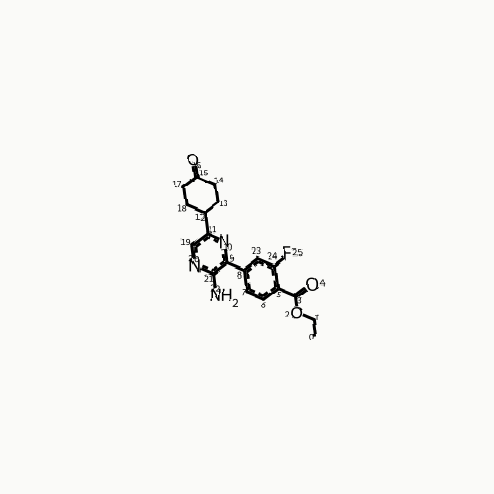 CCOC(=O)c1ccc(-c2nc(C3CCC(=O)CC3)cnc2N)cc1F